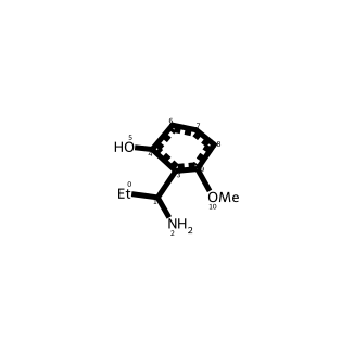 CCC(N)c1c(O)cccc1OC